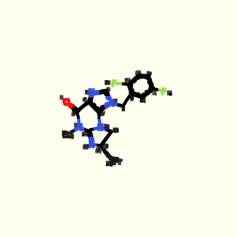 CCN1C(=O)c2ncn(Cc3cc(F)ccc3F)c2N2C[C@@H](C(C)C)N=C12